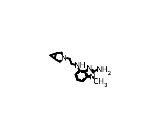 Cn1c(N)nc2c(NCCN3CC4CC4C3)cccc21